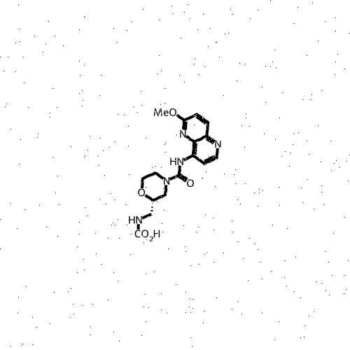 COc1ccc2nccc(NC(=O)N3CCO[C@@H](CNC(=O)O)C3)c2n1